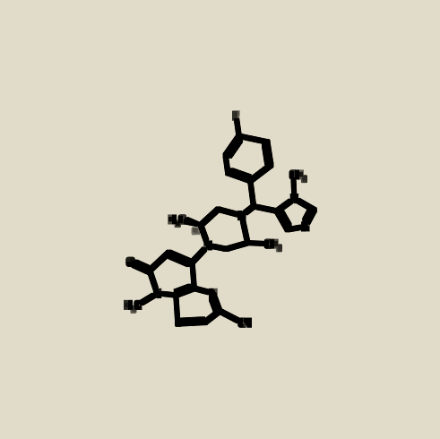 CC1CN(c2cc(=O)n(C)c3ccc(C#N)nc23)[C@@H](C)CN1C(c1ccc(F)cc1)c1cncn1C